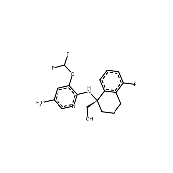 OC[C@]1(Nc2ncc(C(F)(F)F)cc2OC(F)F)CCCc2c(F)cccc21